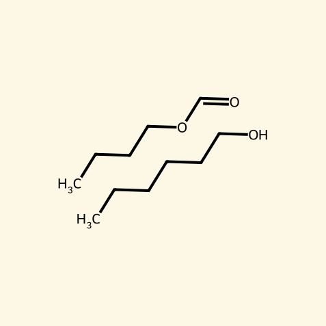 CCCCCCO.CCCCOC=O